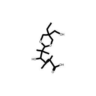 CCC1(CO)COC(C(C)(C)C(O)C(C)=C(C)C(=O)O)OC1